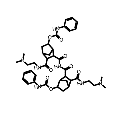 CN(C)CCNC(=O)C1C2CC(OC(=O)Nc3ccccc3)C(C2)C1C(=O)NC(=O)C1C2CC(CC2OC(=O)Nc2ccccc2)C1C(=O)NCCN(C)C